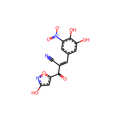 N#C/C(=C\c1cc(O)c(O)c([N+](=O)[O-])c1)C(=O)c1cc(O)no1